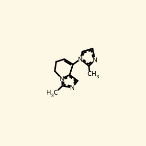 Cc1nccn1C1=CCCn2c1cnc2C